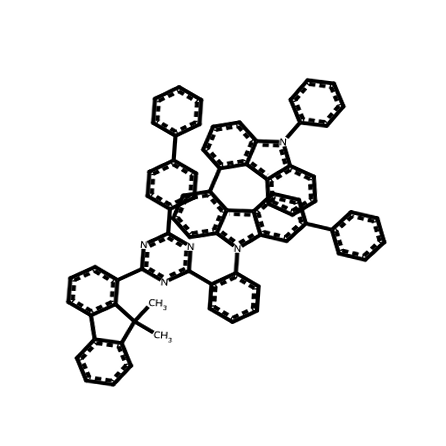 CC1(C)c2ccccc2-c2cccc(-c3nc(-c4ccc(-c5ccccc5)cc4)nc(-c4ccccc4-n4c5cc(-c6ccccc6)ccc5c5c(-c6cccc7c6c6ccccc6n7-c6ccccc6)cccc54)n3)c21